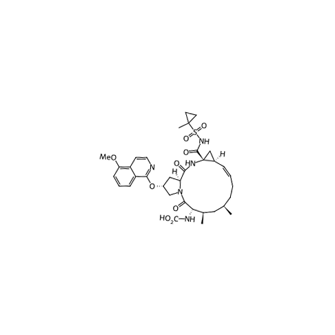 COc1cccc2c(O[C@@H]3C[C@H]4C(=O)N[C@]5(C(=O)NS(=O)(=O)C6(C)CC6)C[C@H]5/C=C\CC[C@@H](C)C[C@@H](C)[C@H](NC(=O)O)C(=O)N4C3)nccc12